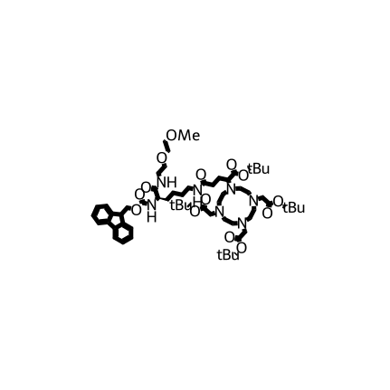 COCCOCCNC(=O)[C@@H](CCCCNC(=O)CCC(C(=O)OC(C)(C)C)N1CCN(CC(=O)OC(C)(C)C)CCN(CC(=O)OC(C)(C)C)CCN(CC(=O)OC(C)(C)C)CC1)NC(=O)OCC1c2ccccc2-c2ccccc21